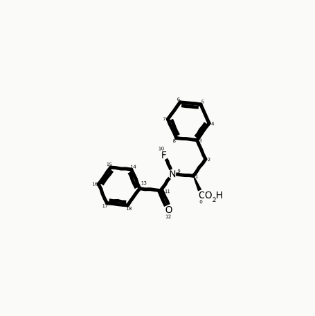 O=C(O)[C@H](Cc1ccccc1)N(F)C(=O)c1ccccc1